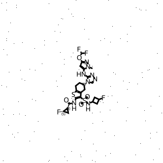 Cn1nc(OC(F)F)cc1Nc1nncn1[C@H]1CCc2sc(NC(=O)[C@H]3C[C@@H]3F)c(S(=O)(=O)NC3CC(F)C3)c2C1